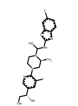 C[C@H]1CN(c2ncc([C@H](O)CO)cc2F)CCN1C(O)Nc1nc2ccc(F)cc2s1